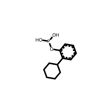 OP(O)Oc1ccccc1C1CCCCC1